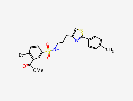 CCc1ccc(S(=O)(=O)NCCCc2csc(-c3ccc(C)cc3)n2)cc1C(=O)OC